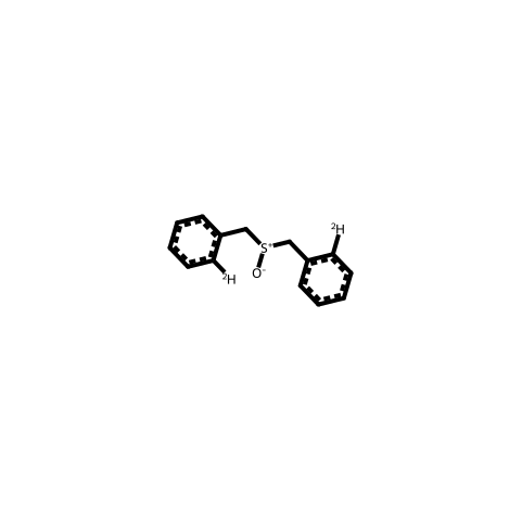 [2H]c1ccccc1C[S+]([O-])Cc1ccccc1[2H]